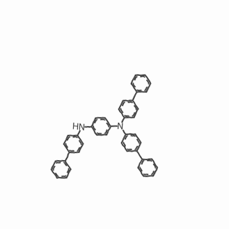 c1ccc(-c2ccc(Nc3ccc(N(c4ccc(-c5ccccc5)cc4)c4ccc(-c5ccccc5)cc4)cc3)cc2)cc1